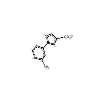 CCOC(=O)c1csc(-c2ccnc(N)c2)c1